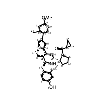 CCc1cc(O)ccc1/N=C(\N)c1cnn2cc(-c3cnc(OC)cc3C)cc2c1NC[C@H]1CCCN1C(=O)C1CC1